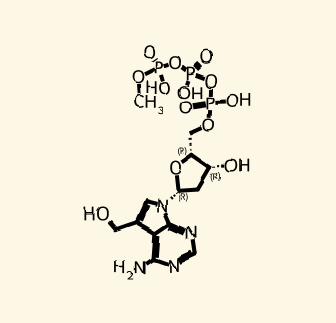 COP(=O)(O)OP(=O)(O)OP(=O)(O)OC[C@H]1O[C@@H](n2cc(CO)c3c(N)ncnc32)C[C@H]1O